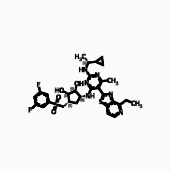 CCc1nccc2sc(-c3c(C)nc(N[C@H](C)C4CC4)nc3N[C@@H]3C[C@H](CS(=O)(=O)c4cc(F)cc(F)c4)[C@@H](O)[C@H]3O)nc12